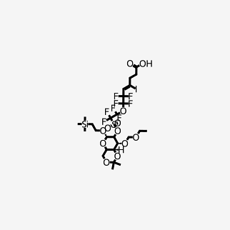 CCOCO[C@@H]1C(OS(=O)(=O)C(F)(F)C(F)(F)OC(F)(F)C(F)(F)C=C(I)CCC(=O)O)[C@H](OCC[Si](C)(C)C)OC2COC(C)(C)O[C@H]21